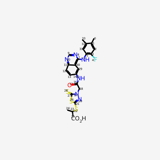 Cc1cc(F)c(Nc2ncnc3ccc(NC(=O)Cn4nc(SC(C)C(=O)O)sc4=S)cc23)cc1C